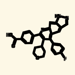 O=C(O)c1ccc(-c2nc3cc4[nH]ncc4cc3c(-c3ccc(F)cc3)c2C2CCOCC2)cc1